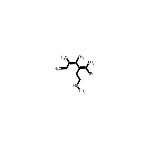 C=C/C(C)=C(C)\C(CCBC)=C(/C)C(C)C